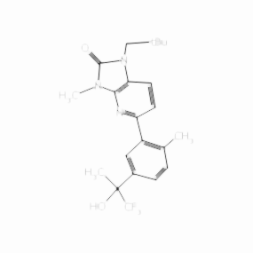 Cc1ccc(C(C)(O)C(F)(F)F)cc1-c1ccc2c(n1)n(C)c(=O)n2CC(C)(C)C